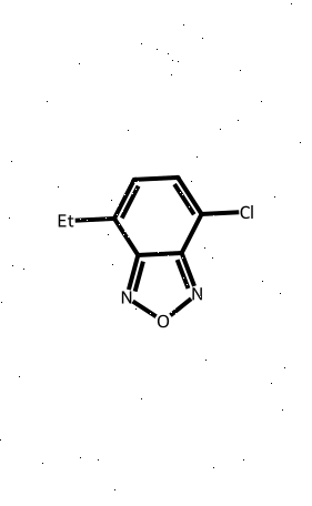 CCc1ccc(Cl)c2nonc12